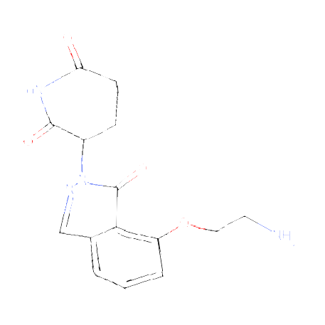 NCCOc1cccc2cnn(C3CCC(=O)NC3=O)c(=O)c12